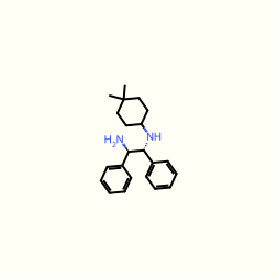 CC1(C)CCC(N[C@H](c2ccccc2)[C@H](N)c2ccccc2)CC1